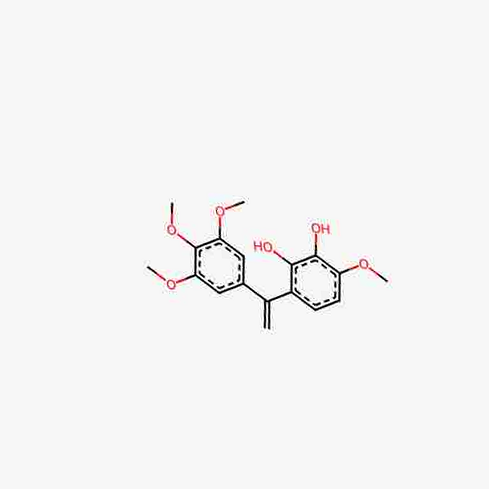 C=C(c1cc(OC)c(OC)c(OC)c1)c1ccc(OC)c(O)c1O